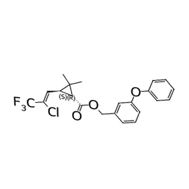 CC1(C)[C@H](C=C(Cl)C(F)(F)F)[C@H]1C(=O)OCc1cccc(Oc2ccccc2)c1